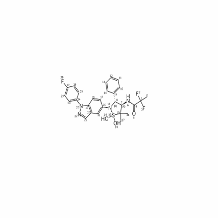 CC(F)(F)C(=O)N[C@@H]1[C@@H](c2ccccc2)N(c2ccc3c(cnn3-c3ccc(F)cc3)c2)S(O)(O)C1(C)C